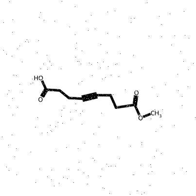 COC(=O)CCC#CCCC(=O)O